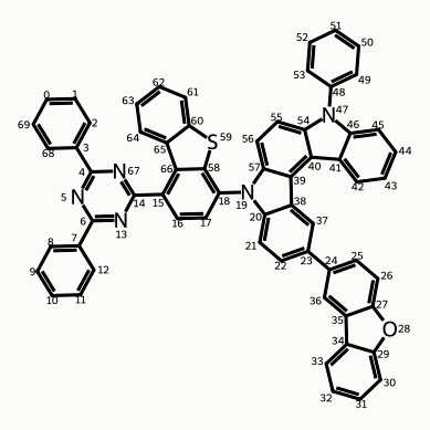 c1ccc(-c2nc(-c3ccccc3)nc(-c3ccc(-n4c5ccc(-c6ccc7oc8ccccc8c7c6)cc5c5c6c7ccccc7n(-c7ccccc7)c6ccc54)c4sc5ccccc5c34)n2)cc1